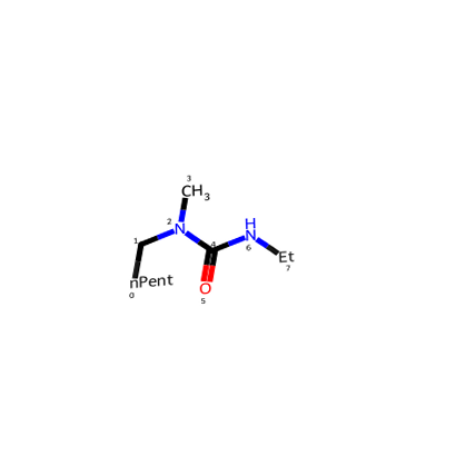 CCCCCCN(C)C(=O)NCC